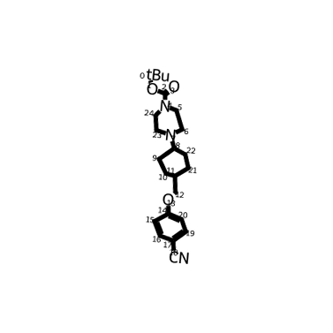 CC(C)(C)OC(=O)N1CCN(C2CCC(COc3ccc(C#N)cc3)CC2)CC1